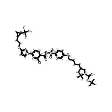 CC(C)(C)OC(=O)N1CC(CCCCNc2ccc(S(=O)(=O)NC(=O)c3ccc(-n4ccc(OCCC5CC5C(F)(F)F)n4)nc3Cl)nc2)CC1(C)C